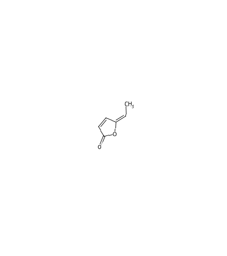 C/C=C1\C=CC(=O)O1